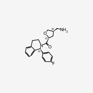 NC[C@@H]1CO[C@H](C(=O)N2CCc3ccccc3[C@@H]2c2ccc(F)cc2)C1